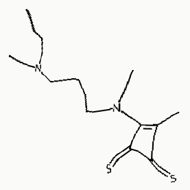 CCN(C)CCCN(C)c1c(C)c(=S)c1=S